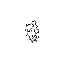 N#Cc1cccc(CN2CCN(C(=O)OC(C(F)(F)F)C(F)(F)F)CC2)c1OCOC(=O)C1CC1